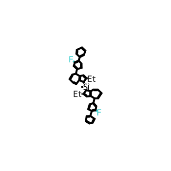 CCC1=CC2=C(C=CC=CC2c2ccc(-c3ccccc3)c(F)c2)C1[Si](C)(C)C1C(CC)=CC2=C1C=CC=CC2c1ccc(-c2ccccc2)c(F)c1